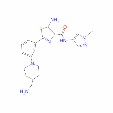 Cn1cc(NC(=O)c2nc(-c3cccc(N4CCC(CN)CC4)c3)sc2N)cn1